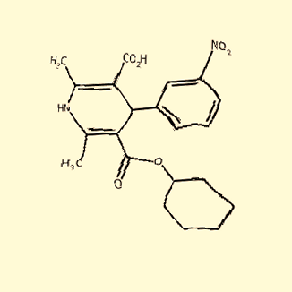 CC1=C(C(=O)O)C(c2cccc([N+](=O)[O-])c2)C(C(=O)OC2CCCCC2)=C(C)N1